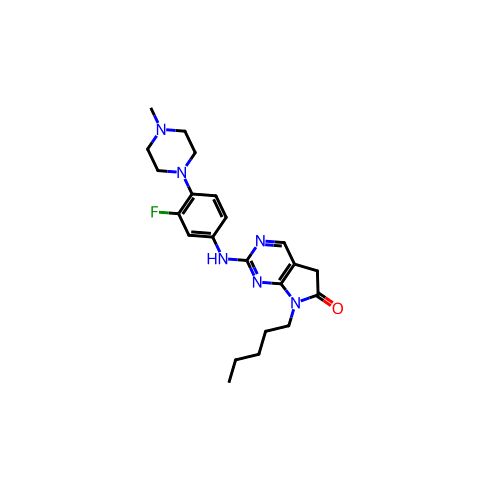 CCCCCN1C(=O)Cc2cnc(Nc3ccc(N4CCN(C)CC4)c(F)c3)nc21